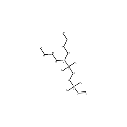 C=C[Si](C)(C)CC[Si](C)(C)N(CCCC)CCCC